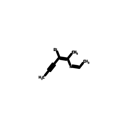 CC#C/C(CC)=C(C)\N=C/C